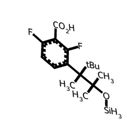 CC(C)(C)C(C)(c1ccc(F)c(C(=O)O)c1F)C(C)(C)O[SiH3]